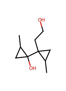 CC1CC1(O)C1(CCO)CC1C